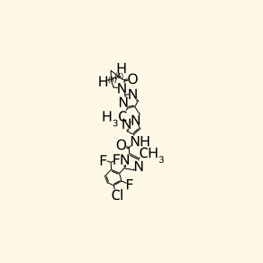 Cc1nc(N2C[C@@H]3C[C@@H]3C2=O)ncc1Cn1cc(NC(=O)c2nc(-c3c(C(F)F)ccc(Cl)c3F)cnc2C)cn1